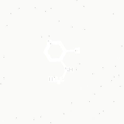 O=C(O)Nc1ccncc1Cl